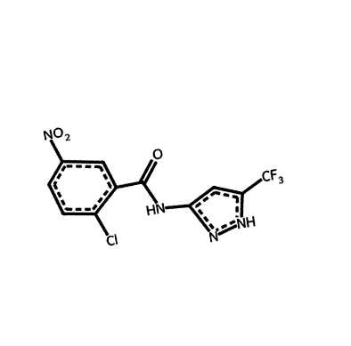 O=C(Nc1cc(C(F)(F)F)[nH]n1)c1cc([N+](=O)[O-])ccc1Cl